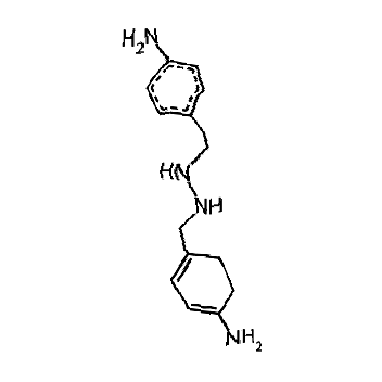 NC1=CC=C(CNNCc2ccc(N)cc2)CC1